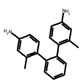 Cc1cc(N)ccc1-c1ccccc1-c1ccc(N)cc1C